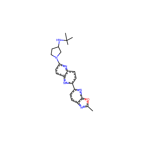 Cc1nc2ccc(-c3ccc4nc(N5CCC(NC(C)(C)C)C5)ccc4n3)nc2o1